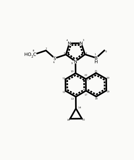 CBc1nnc(SCC(=O)O)n1-c1ccc(C2CC2)c2ccccc12